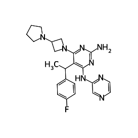 CC(c1ccc(F)cc1)c1c(Nc2cnccn2)nc(N)nc1N1CC(N2CCCC2)C1